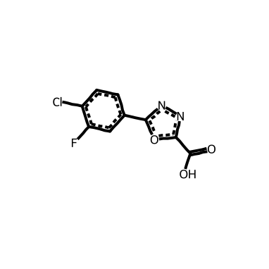 O=C(O)c1nnc(-c2ccc(Cl)c(F)c2)o1